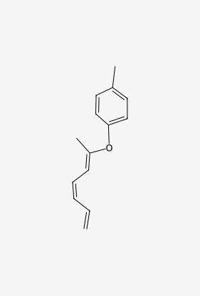 C=C/C=C\C=C(/C)Oc1ccc(C)cc1